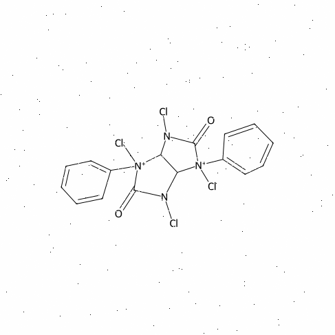 O=C1N(Cl)C2C(N(Cl)C(=O)[N+]2(Cl)c2ccccc2)[N+]1(Cl)c1ccccc1